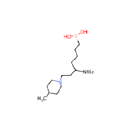 CNC(CCCCB(O)O)CCN1CCC(C)CC1